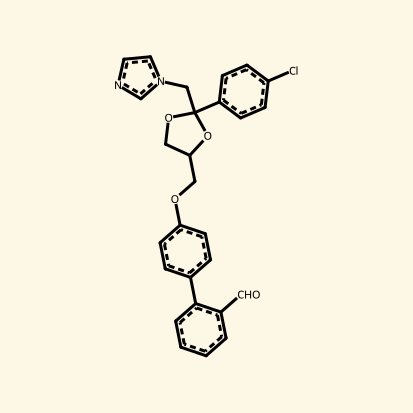 O=Cc1ccccc1-c1ccc(OCC2COC(Cn3ccnc3)(c3ccc(Cl)cc3)O2)cc1